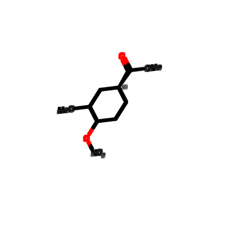 COC(=O)[C@H]1CCC(O[N+](=O)[O-])C(OC)C1